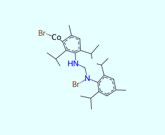 Cc1cc(C(C)C)c(N(Br)CNc2c(C(C)C)cc(C)[c]([Co][Br])c2C(C)C)c(C(C)C)c1